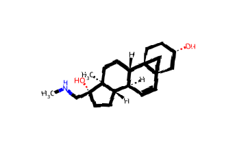 CNC[C@]1(O)CC[C@H]2[C@@H]3C=C[C@]45C[C@@H](O)CC[C@]4(C5)[C@H]3CC[C@@]21C